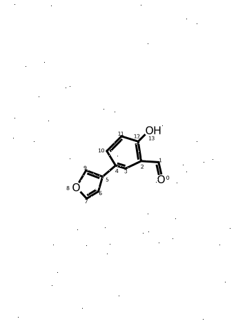 O=Cc1cc(-c2ccoc2)ccc1O